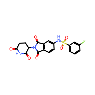 O=C1CCC(N2C(=O)c3ccc(NS(=O)(=O)c4cccc(F)c4)cc3C2=O)C(=O)N1